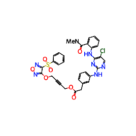 CNC(=O)c1ccccc1Nc1nc(Nc2cccc(CC(=O)OCC#CCOc3nonc3S(=O)(=O)c3ccccc3)c2)ncc1Cl